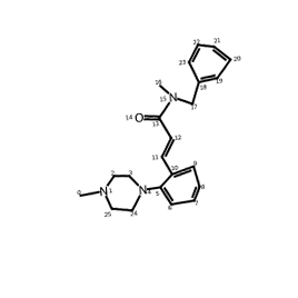 CN1CCN(c2ccccc2C=CC(=O)N(C)Cc2ccccc2)CC1